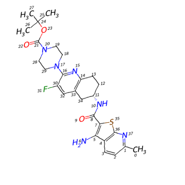 Cc1ccc2c(N)c(C(=O)N[C@H]3CCc4nc(N5CCN(C(=O)OC(C)(C)C)CC5)c(F)cc4C3)sc2n1